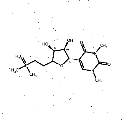 C=P(C)(C)CCC1O[C@@H](c2cn(C)c(=O)n(C)c2=O)[C@H](O)[C@@H]1O